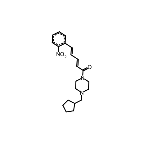 O=C(C=CC=Cc1ccccc1[N+](=O)[O-])N1CCN(CC2CCCC2)CC1